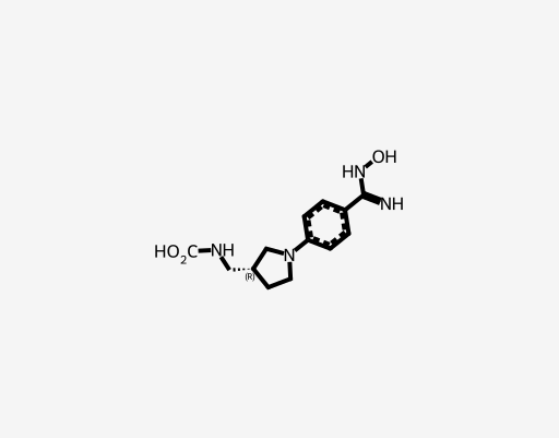 N=C(NO)c1ccc(N2CC[C@H](CNC(=O)O)C2)cc1